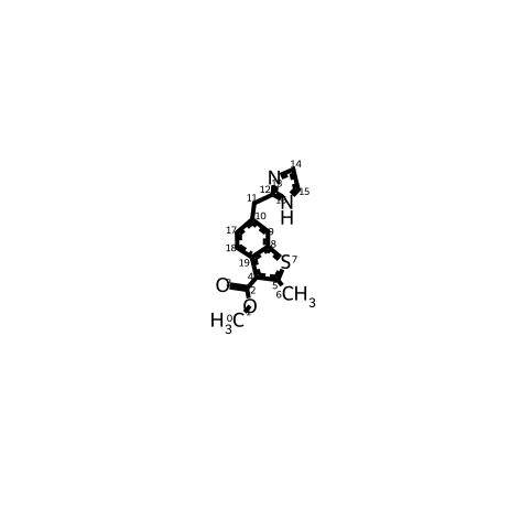 COC(=O)c1c(C)sc2cc(Cc3ncc[nH]3)ccc12